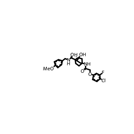 COc1ccc(CNC(=O)C23CCC(NC(=O)COc4ccc(Cl)c(F)c4)(CC2)C[C@@H]3O)cc1